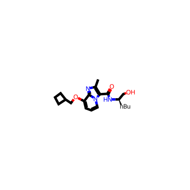 CCCC[C@H](CO)NC(=O)c1c(C)nc2c(OCC3CCC3)cccn12